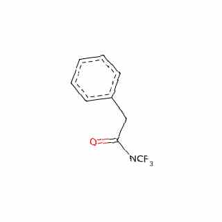 O=C(Cc1ccccc1)NC(F)(F)F